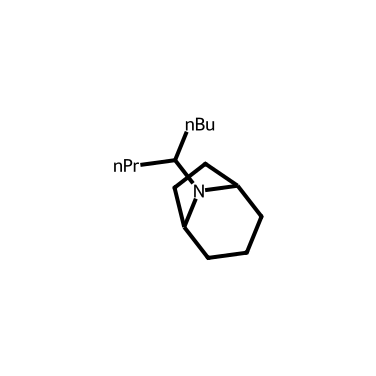 CCCCC(CCC)N1C2CCCC1CC2